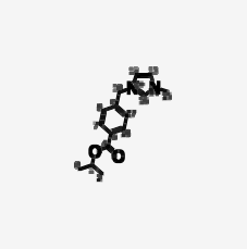 CC(C)OC(=O)c1ccc(C[n+]2ccn(C)c2)cc1